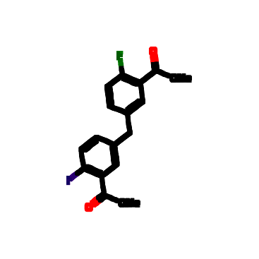 COC(=O)c1cc(Cc2ccc(I)c(C(=O)OC)c2)ccc1F